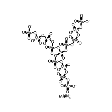 O=P([O][Mo](=[O])(=[O])[O][Mo](=[O])(=[O])[O][Mo](=[O])(=[O])[O][Mo](=[O])(=[O])[O-])([O][Mo](=[O])(=[O])[O][Mo](=[O])(=[O])[O][Mo](=[O])(=[O])[O][Mo](=[O])(=[O])[O-])[O][Mo](=[O])(=[O])[O][Mo](=[O])(=[O])[O][Mo](=[O])(=[O])[O][Mo](=[O])(=[O])[O-].[Mn+2].[NH4+]